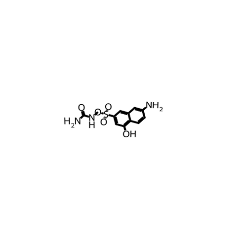 NC(=O)NOS(=O)(=O)c1cc(O)c2ccc(N)cc2c1